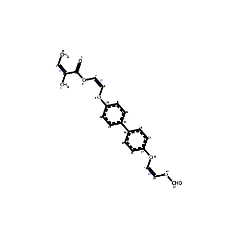 C/C=C(/C)C(=O)O/C=C\Oc1ccc(-c2ccc(O/C=C\OC=O)cc2)cc1